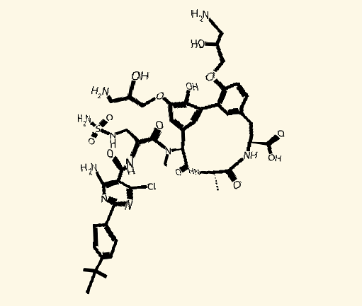 C[C@@H]1NC(=O)[C@@H](N(C)C(=O)C(CNS(N)(=O)=O)NC(=O)c2c(N)nc(-c3ccc(C(C)(C)C)cc3)nc2Cl)c2cc(OCC(O)CN)c(O)c(c2)-c2cc(ccc2OCC(O)CN)C[C@@H](C(=O)O)NC1=O